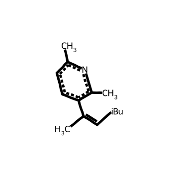 CCC(C)/C=C(/C)c1ccc(C)nc1C